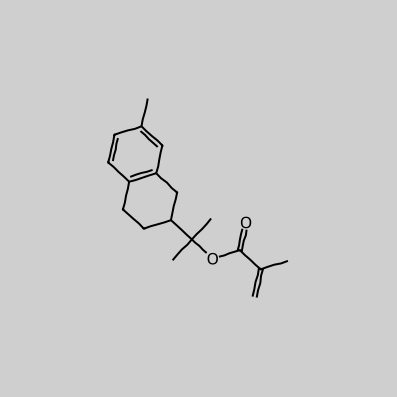 C=C(C)C(=O)OC(C)(C)C1CCc2ccc(C)cc2C1